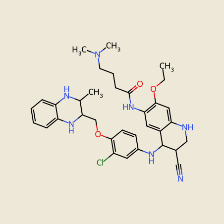 CCOc1cc2c(cc1NC(=O)CCCN(C)C)C(Nc1ccc(OCC3Nc4ccccc4NC3C)c(Cl)c1)C(C#N)CN2